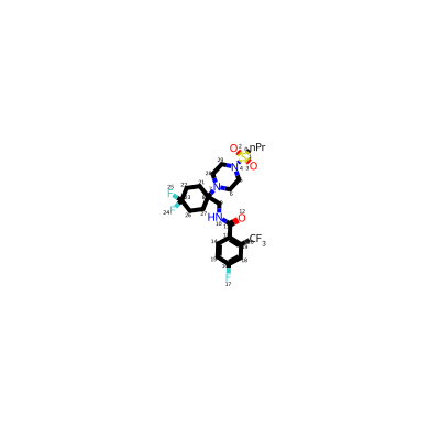 CCCS(=O)(=O)N1CCN(C2(CNC(=O)c3ccc(F)cc3C(F)(F)F)CCC(F)(F)CC2)CC1